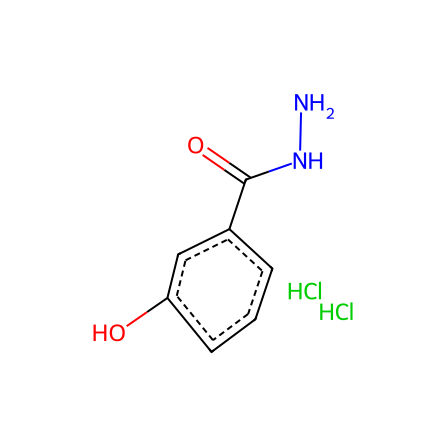 Cl.Cl.NNC(=O)c1cccc(O)c1